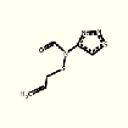 C=CCSN(C=O)c1csnn1